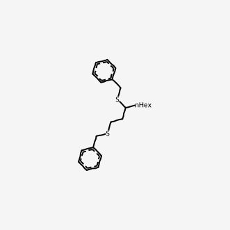 CCCCCCC(CCSCc1ccccc1)SCc1ccccc1